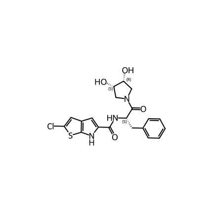 O=C(N[C@@H](Cc1ccccc1)C(=O)N1C[C@@H](O)[C@@H](O)C1)c1cc2cc(Cl)sc2[nH]1